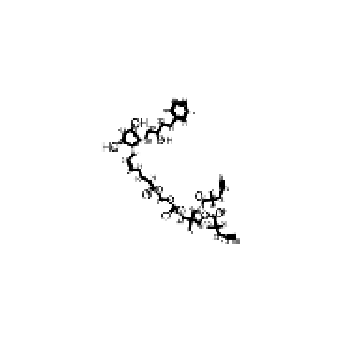 C#CCC(C)(C)C(=O)OCC(C)(COC(=O)OCOC(=O)CCC/C=C\C[C@@H]1[C@@H](CC[C@@H](O)CCc2ccccc2)[C@H](O)C[C@@H]1O)COC(=O)C(C)(C)CC#C